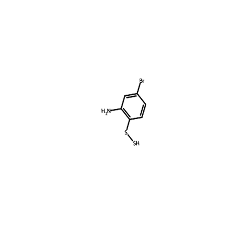 Nc1cc(Br)ccc1SS